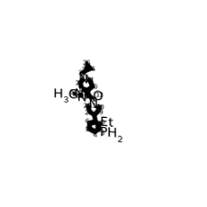 CCc1c(P)cccc1C1CCN(C(=O)c2nn(C)c3c2CCN(CC2CC2)C3)CC1